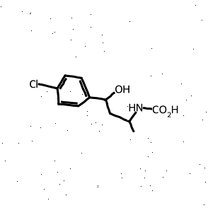 CC(CC(O)c1ccc(Cl)cc1)NC(=O)O